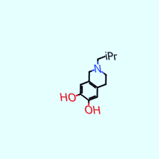 CC(C)CN1CCc2cc(O)c(O)cc2C1